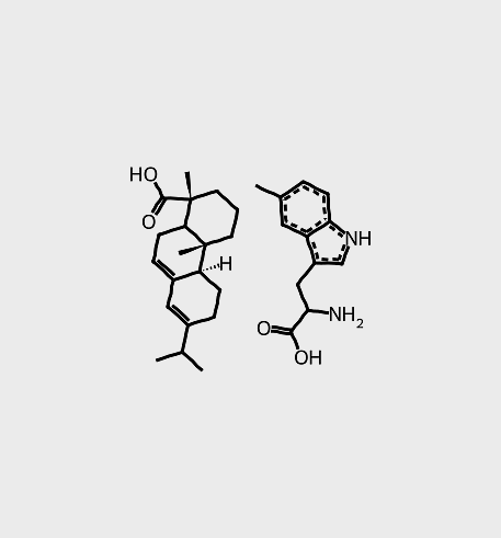 CC(C)C1=CC2=CCC3[C@](C)(C(=O)O)CCC[C@]3(C)[C@H]2CC1.Cc1ccc2[nH]cc(CC(N)C(=O)O)c2c1